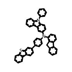 c1ccc(-n2c3ccccc3c3cc(N(c4ccc(-c5ccc6c(c5)sc5ccccc56)cc4)c4cccc5c4Cc4ccccc4-5)ccc32)cc1